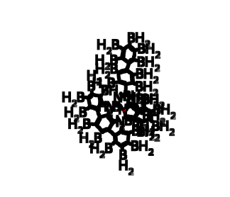 Bc1c(B)c(B)c(-c2nc(-c3c(B)c(B)c(-c4c(B)c(B)c(B)c(B)c4B)c(B)c3B)nc(-n3c4c(B)c(B)c(B)c(B)c4c4c(B)c(B)c5c6c(B)c(B)c(B)c(B)c6n(-c6c(B)c(B)c(B)c(B)c6B)c5c43)n2)c(B)c1B